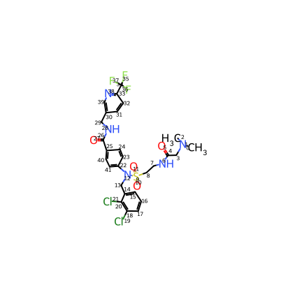 CN(C)CC(=O)NCCS(=O)(=O)N(Cc1cccc(Cl)c1Cl)c1ccc(C(=O)NCc2ccc(C(F)(F)F)nc2)cc1